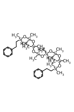 C[Si](C)(CCc1ccccc1)O[Si](C)(C)O[Si](C)(C)O[Si](C)(C)O[Si](C)(C)O[Si](C)(C)O[Si](C)(C)O[Si](C)(C)CCc1ccccc1